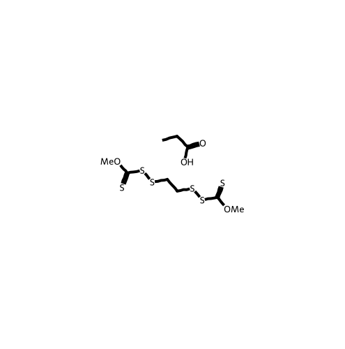 CCC(=O)O.COC(=S)SSCCSSC(=S)OC